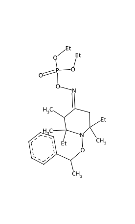 CCOP(=O)(OCC)O/N=C1/CC(C)(CC)N(OC(C)c2ccccc2)C(C)(CC)C1C